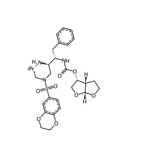 CC(C)CN(C[C@@H](N)[C@H](Cc1ccccc1)NC(=O)O[C@H]1CO[C@H]2OCC[C@H]21)S(=O)(=O)c1ccc2c(c1)OCCO2